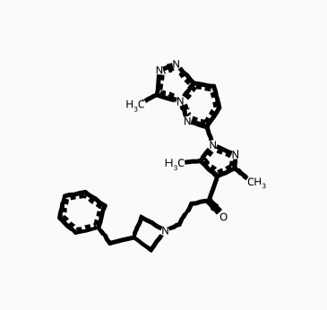 Cc1nn(-c2ccc3nnc(C)n3n2)c(C)c1C(=O)CCN1CC(Cc2ccccc2)C1